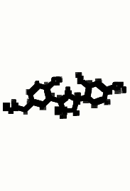 NCc1ccc(Cl)c(C2=NN(c3ccc(C(F)(F)F)cc3F)CN2)c1